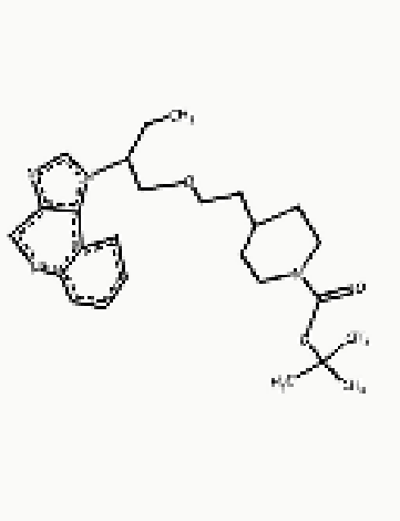 CCC(COCCC1CCN(C(=O)OC(C)(C)C)CC1)n1cnc2cnc3ccccc3c21